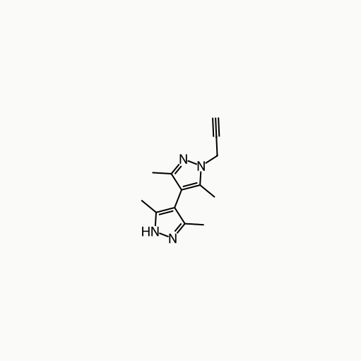 C#CCn1nc(C)c(-c2c(C)n[nH]c2C)c1C